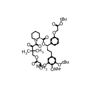 C=CC(=O)OCC(C)(C)C(=O)C(=O)N1CCCC[C@H]1C(=O)O[C@H](CCc1cc(OC)c(OC)c(OC(C)(C)C)c1)c1cccc(OCC(=O)OC(C)(C)C)c1